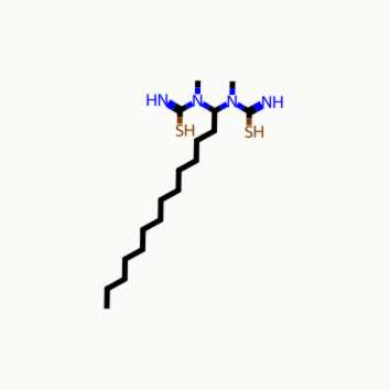 CCCCCCCCCCCCCC(N(C)C(=N)S)N(C)C(=N)S